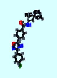 CC(C)(C)CCNC(=O)c1ccc(C2NC(c3ccc(F)cc3)=NO2)cc1